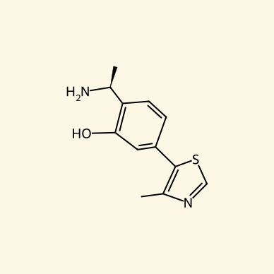 Cc1ncsc1-c1ccc([C@H](C)N)c(O)c1